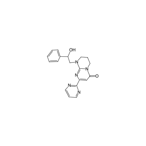 O=c1cc(-c2ncccn2)nc2n1CCCN2CC(O)c1ccccc1